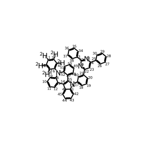 [2H]c1c([2H])c([2H])c(N2c3ccccc3-c3c(n(-c4cccc(-c5cc(-c6ccccc6)nc(-c6ccccc6)n5)c4)c4ccccc34)-c3ccccc32)c([2H])c1[2H]